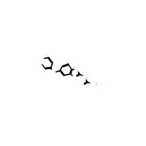 C/C=C\C(=C/C)Sc1ccc2[nH]c(NC(=O)OC)nc2c1